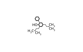 CC(C)CCc1cc(CCC(C)C)c(O)c(-c2ccccc2)c1